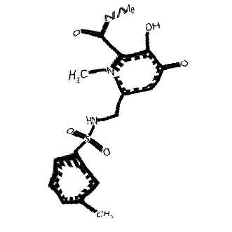 CNC(=O)c1c(O)c(=O)cc(CNS(=O)(=O)c2cccc(C)c2)n1C